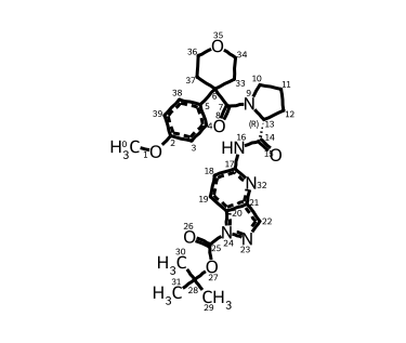 COc1ccc(C2(C(=O)N3CCC[C@@H]3C(=O)Nc3ccc4c(cnn4C(=O)OC(C)(C)C)n3)CCOCC2)cc1